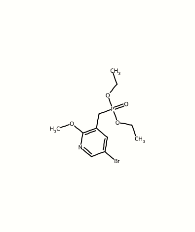 CCOP(=O)(Cc1cc(Br)cnc1OC)OCC